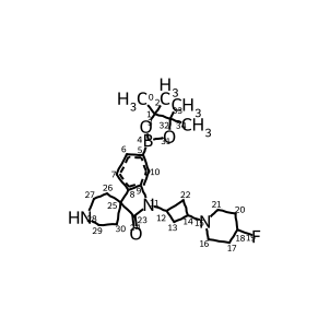 CC1(C)OB(c2ccc3c(c2)N(C2CC(N4CCC(F)CC4)C2)C(=O)C32CCNCC2)OC1(C)C